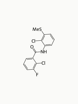 CSc1cccc(NC(=O)c2cccc(F)c2Cl)c1Cl